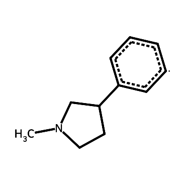 CN1CCC(c2c[c]ccc2)C1